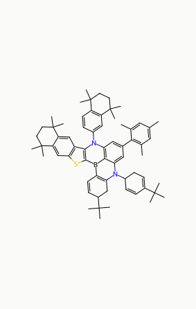 Cc1cc(C)c(-c2cc3c4c(c2)N(C2C=CC(C(C)(C)C)=CC2)C2=C(C=CC(C(C)(C)C)C2)B4c2sc4cc5c(cc4c2N3c2ccc3c(c2)C(C)(C)CCC3(C)C)C(C)(C)CCC5(C)C)c(C)c1